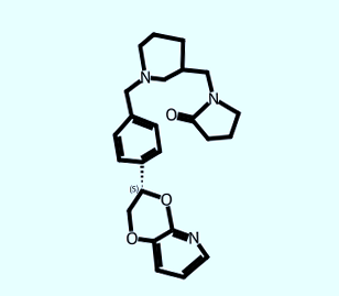 O=C1CCCN1CC1CCCN(Cc2ccc([C@H]3COc4cccnc4O3)cc2)C1